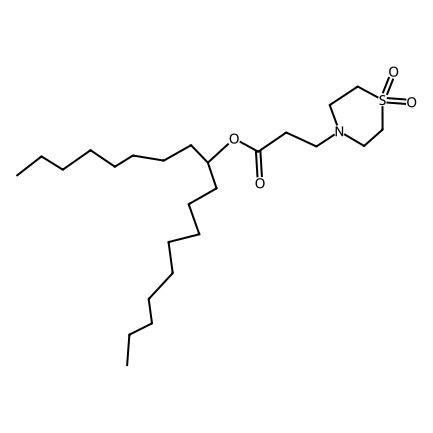 CCCCCCCCCC(CCCCCCCC)OC(=O)CCN1CCS(=O)(=O)CC1